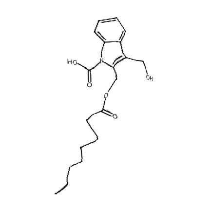 CCCCCCCC(=O)OCc1c(CO)c2ccccc2n1C(=O)O